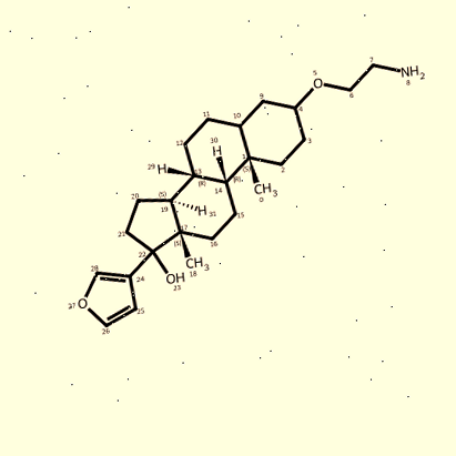 C[C@]12CCC(OCCN)CC1CC[C@@H]1[C@H]2CC[C@@]2(C)[C@H]1CCC2(O)c1ccoc1